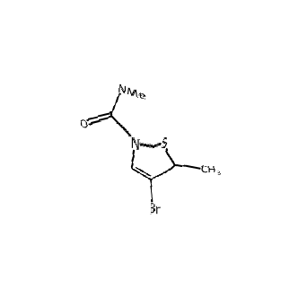 CNC(=O)N1C=C(Br)C(C)S1